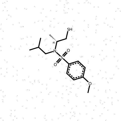 COc1ccc(S(=O)(=O)N(CC(C)C)[C@H](C)CS)cc1